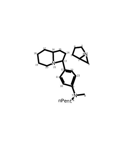 C1CC2CN2C1.CCCCCN(C)c1ccc(C2CCC3CCCCN32)cc1